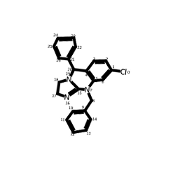 Clc1ccc2c(c1)N(Cc1ccccc1)C1=NCCN1C2c1ccccc1